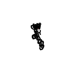 COCCOCCOCCOCCOCC(CO)CNc1ccc2c(c1)[C@]1(C)CCN(CC3CC3)[C@H](C2=O)[C@@H]1C